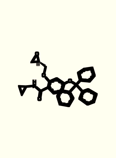 O=C(NC1CC1)c1ccc(OC(c2ccccc2)(c2ccccc2)c2ccccc2)cc1OC[C@@H]1CO1